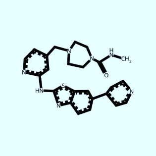 CNC(=O)N1CCN(Cc2ccnc(Nc3nc4ccc(-c5ccncc5)cc4s3)c2)CC1